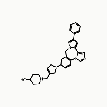 OC1CCN(CC2=CCN(c3ccc4c(c3)Cn3cc(-c5ccccc5)cc3-c3nncn3-4)C2)CC1